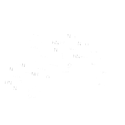 COc1ccc(-c2ccccc2)cc1Nc1ncnc2[nH]nc(-c3occc3-c3cc(-c4ccccc4)cc(Nc4ncnc5[nH]nc(-c6cccs6)c45)c3OC)c12